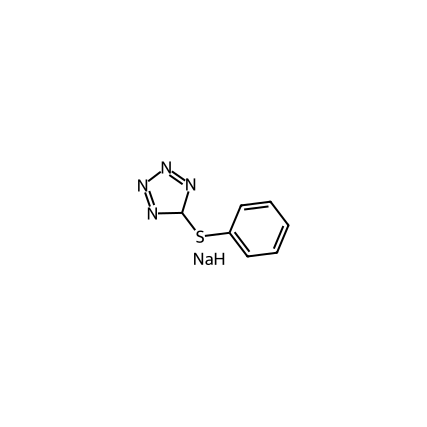 [NaH].c1ccc(SC2N=NN=N2)cc1